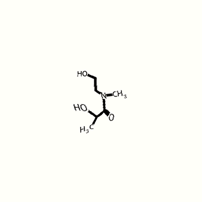 CC(O)C(=O)N(C)CCO